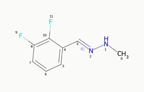 CN/N=C/c1cccc(F)c1F